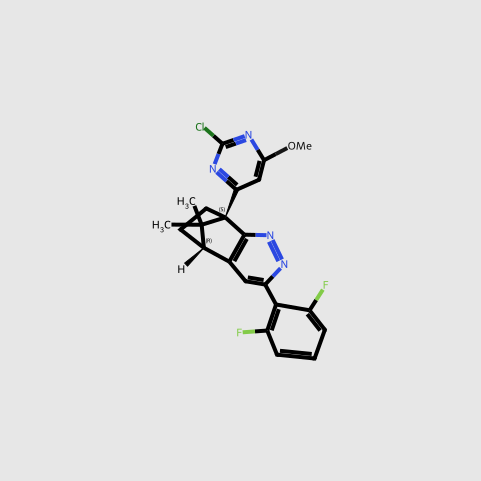 COc1cc([C@@]23CC[C@@H](c4cc(-c5c(F)cccc5F)nnc42)C3(C)C)nc(Cl)n1